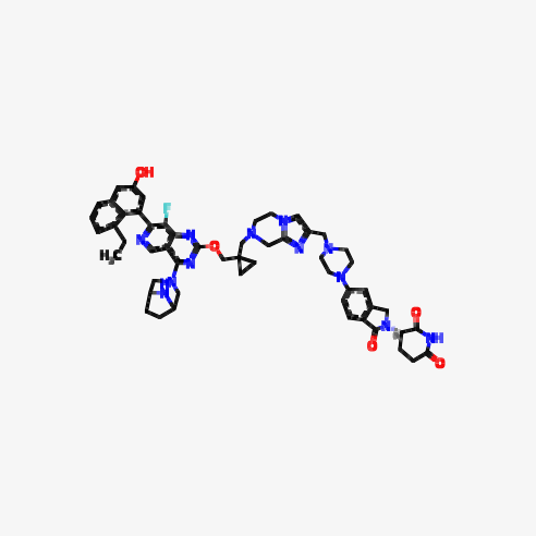 CCc1cccc2cc(O)cc(-c3ncc4c(N5CC6CCC(C5)N6)nc(OCC5(CN6CCn7cc(CN8CCN(c9ccc%10c(c9)CN([C@H]9CCC(=O)NC9=O)C%10=O)CC8)nc7C6)CC5)nc4c3F)c12